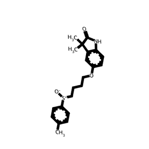 Cc1ccc([S+]([O-])CCCCOc2ccc3c(c2)C(C)(C)C(=O)N3)cc1